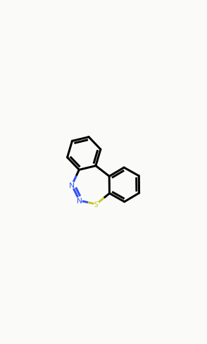 c1ccc2c(c1)N=NSc1ccccc1-2